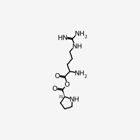 N=C(N)NCCCC(N)C(=O)OC(=O)[C@@H]1CCCN1